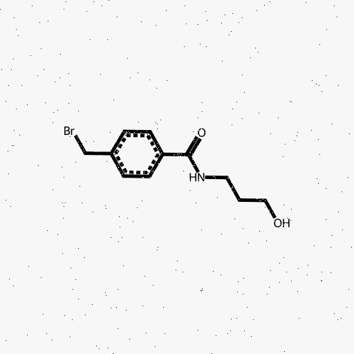 O=C(NCCCO)c1ccc(CBr)cc1